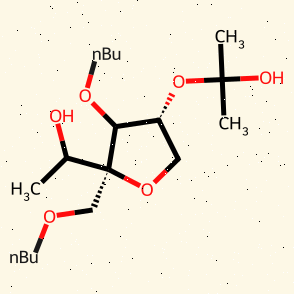 CCCCOC[C@@]1(C(C)O)OC[C@@H](OC(C)(C)O)C1OCCCC